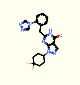 O=c1[nH]c(Cc2ccccc2-n2cnnc2)nc2c1cnn2C1CCC(F)(F)CC1